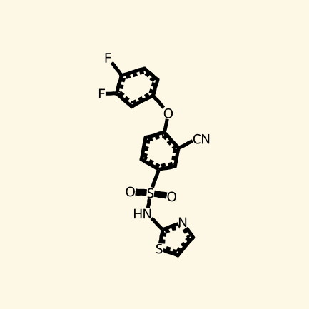 N#Cc1cc(S(=O)(=O)Nc2nccs2)ccc1Oc1ccc(F)c(F)c1